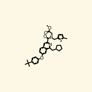 COC(=O)CN(Cc1ccc(C)s1)C(=O)c1cc2ccc(Oc3ccc(C(C)(C)C)cc3)cc2c(CC2CCCC2)n1